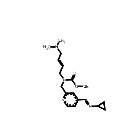 CN(C)CC=CCN(Cc1cc(C=NC2CC2)ccn1)C(=O)OC(C)(C)C